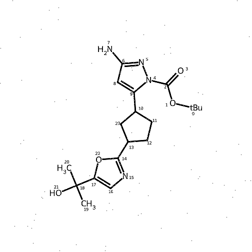 CC(C)(C)OC(=O)n1nc(N)cc1C1CCC(c2ncc(C(C)(C)O)o2)C1